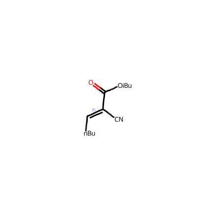 CCCC/C=C(\C#N)C(=O)OCC(C)C